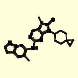 Cc1cc2ccnn2cc1Nc1ncc2c(n1)n(C1CCC3(CC1)CC3)c(=O)n2C